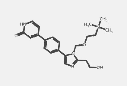 C[Si](C)(C)CCOCn1c(-c2ccc(-c3cc[nH]c(=O)c3)cc2)cnc1CCO